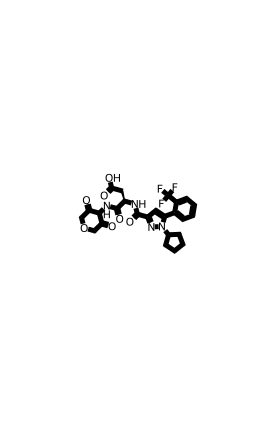 O=C(O)C[C@@H](NC(=O)c1cc(-c2ccccc2C(F)(F)F)n(C2CCCC2)n1)C(=O)NC1C(=O)COCC1=O